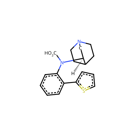 O=C(O)N(c1ccccc1-c1cccs1)[C@H]1CN2CCC1CC2